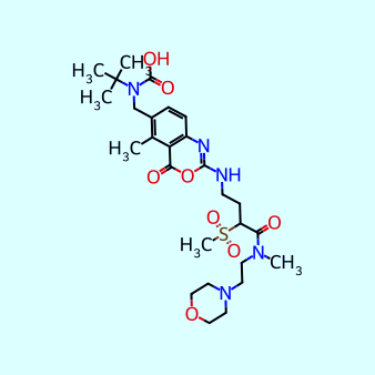 Cc1c(CN(C(=O)O)C(C)(C)C)ccc2nc(NCCC(C(=O)N(C)CCN3CCOCC3)S(C)(=O)=O)oc(=O)c12